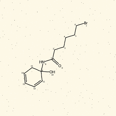 O=C(CCCCCBr)NC1(O)C=CC=CC1